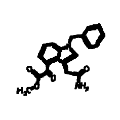 COC(=O)C(=O)c1cccc2c1c(CC(N)=O)cn2Cc1ccccc1